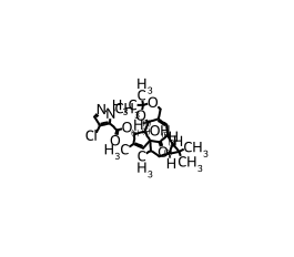 CC1=CC23C(=O)[C@@H](C=C4COC(C)(C)O[C@H]4[C@]2(O)[C@H]1OC(=O)c1c(Cl)cnn1C)[C@H]1[C@@H](CC3C)C1(C)C